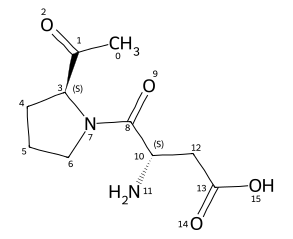 CC(=O)[C@@H]1CCCN1C(=O)[C@@H](N)CC(=O)O